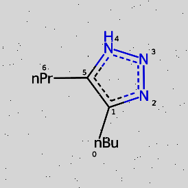 CCCCc1nn[nH]c1CCC